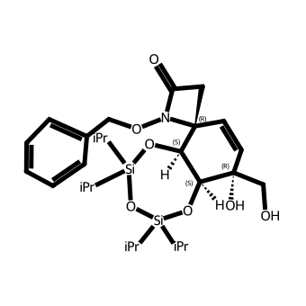 CC(C)[Si]1(C(C)C)O[C@@H]2[C@H](O[Si](C(C)C)(C(C)C)O1)[C@](O)(CO)C=C[C@]21CC(=O)N1OCc1ccccc1